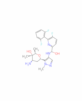 C[C@H]1O[C@@H](c2c(NC(O)c3ccc(F)c(-c4c(F)cccc4F)n3)cnn2C)C[C@@H](N)[C@]1(C)O